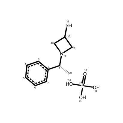 C[C@H](c1ccccc1)N1CC(S)C1.O=P(O)(O)O